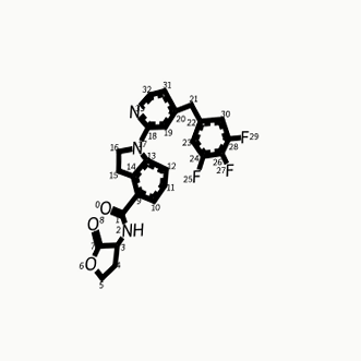 O=C(NC1CCOC1=O)c1cccc2c1CCN2c1cc(Cc2cc(F)c(F)c(F)c2)ccn1